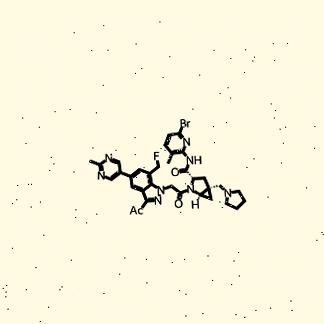 CC(=O)c1nn(CC(=O)N2[C@H](C(=O)Nc3nc(Br)ccc3C)C[C@@]3(CN4CCCC4)C[C@@H]23)c2c(CF)cc(-c3cnc(C)nc3)cc12